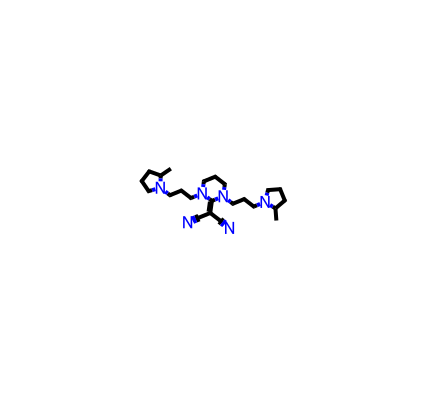 CC1CCCN1CCCN1CCCN(CCCN2CCCC2C)C1=C(C#N)C#N